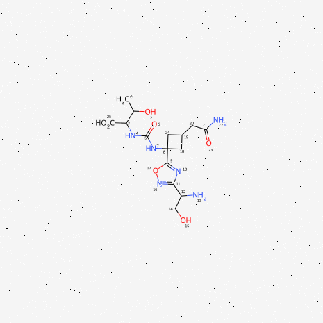 CC(O)C(NC(=O)NC1(c2nc(C(N)CO)no2)CC(CC(N)=O)C1)C(=O)O